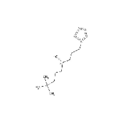 CC(C)(C)CCC[C@H](O)CCCn1ccnc1